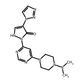 CN(C)N1CCN(c2cc(-n3[nH]cc(-n4ccnn4)c3=O)ncn2)CC1